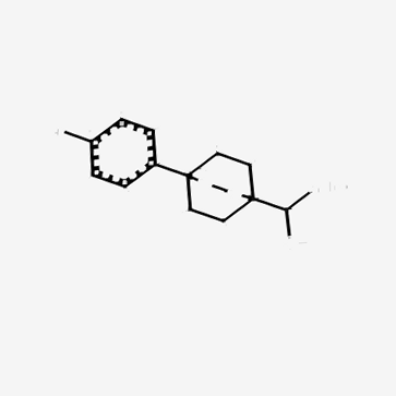 CCCCCCC(O)C12CCC(c3ccc(Br)cc3)(CC1)CC2